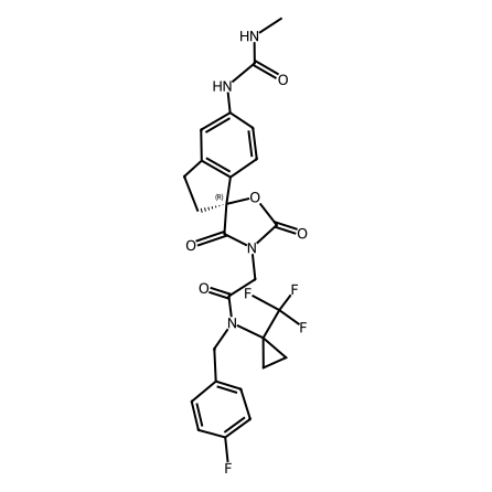 CNC(=O)Nc1ccc2c(c1)CC[C@@]21OC(=O)N(CC(=O)N(Cc2ccc(F)cc2)C2(C(F)(F)F)CC2)C1=O